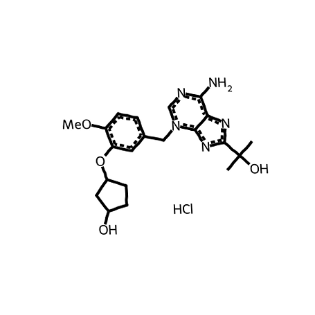 COc1ccc(Cn2cnc(N)c3nc(C(C)(C)O)nc2-3)cc1OC1CCC(O)C1.Cl